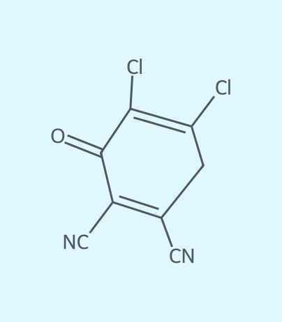 N#CC1=C(C#N)C(=O)C(Cl)=C(Cl)C1